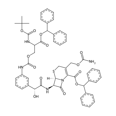 CC(C)(C)OC(=O)NC(COC(=O)Nc1cccc([C@@H](O)C(=O)N[C@@H]2C(=O)N3C(C(=O)OC(c4ccccc4)c4ccccc4)=C(COC(N)=O)CS[C@H]23)c1)C(=O)OC(c1ccccc1)c1ccccc1